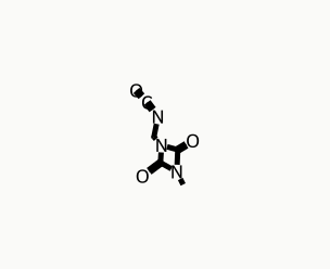 CN1C(=O)N(CN=C=O)C1=O